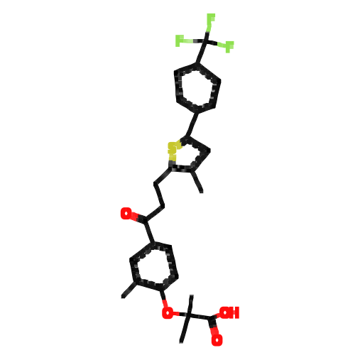 Cc1cc(C(=O)CCc2sc(-c3ccc(C(F)(F)F)cc3)cc2C)ccc1OC(C)(C)C(=O)O